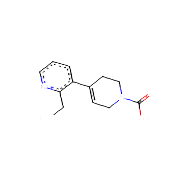 CCc1ncccc1C1=CCN(C(=O)O)CC1